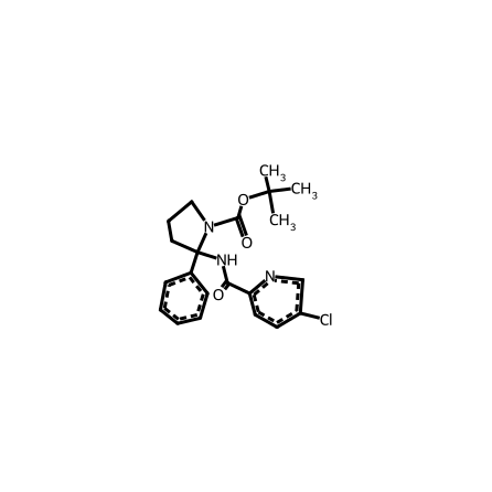 CC(C)(C)OC(=O)N1CCCC1(NC(=O)c1ccc(Cl)cn1)c1ccccc1